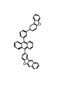 C1=CC(c2cccc(-c3c4ccccc4c(-c4ccc5oc6cc7ccccc7cc6c5c4)c4ccccc34)c2)Cc2c1oc1ccccc21